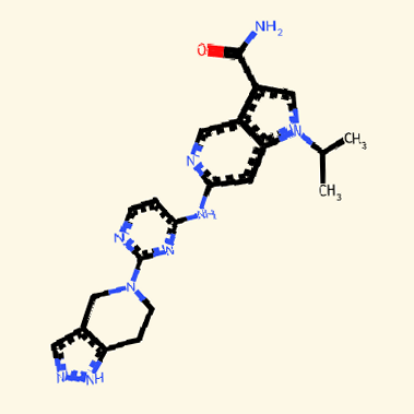 CC(C)n1cc(C(N)=O)c2cnc(Nc3ccnc(N4CCc5[nH]ncc5C4)n3)cc21